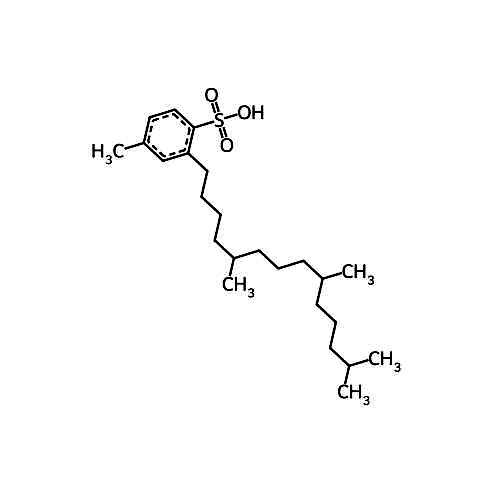 Cc1ccc(S(=O)(=O)O)c(CCCCC(C)CCCC(C)CCCC(C)C)c1